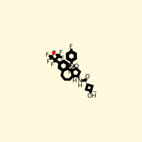 C[C@]1(O)C[C@H](C(=O)N[C@@H]2CC[C@@]3(S(=O)(=O)c4ccc(F)cc4)c4ccc(C(F)(C(F)(F)F)C(F)(F)F)cc4CCC[C@@H]23)C1